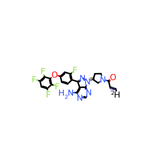 [2H]/C=C/C(=O)N1CC[C@@H](n2nc(-c3ccc(Oc4c(F)c(F)cc(F)c4F)cc3F)c3c(N)ncnc32)C1